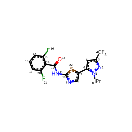 CC(C)n1nc(C(F)(F)F)cc1-c1cnc(NC(=O)c2c(F)cccc2F)s1